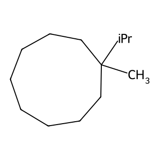 CC(C)C1(C)CCCCCCCC1